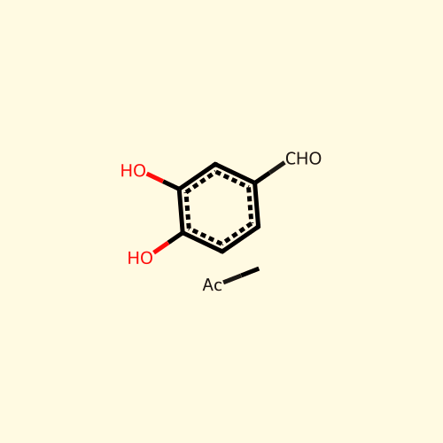 CC(C)=O.O=Cc1ccc(O)c(O)c1